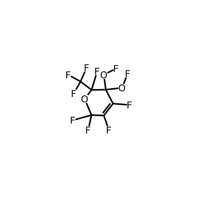 FOC1(OF)C(F)=C(F)C(F)(F)OC1(F)C(F)(F)F